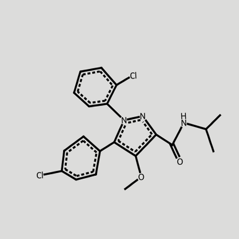 COc1c(C(=O)NC(C)C)nn(-c2ccccc2Cl)c1-c1ccc(Cl)cc1